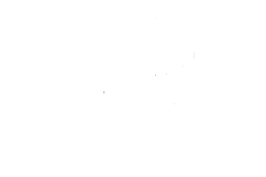 CC1=C(C)C(C)(O)C2=C1CCCC2